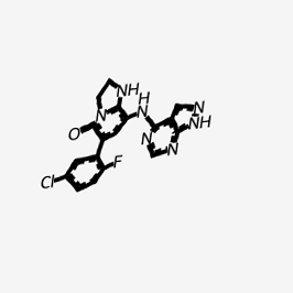 O=c1c(-c2cc(Cl)ccc2F)cc(Nc2ncnc3[nH]ncc23)c2n1CCN2